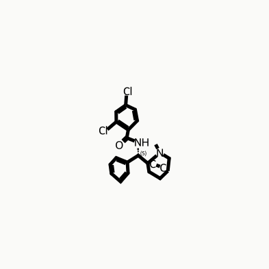 CN1CC2CCC1([C@@H](NC(=O)c1ccc(Cl)cc1Cl)c1ccccc1)CC2